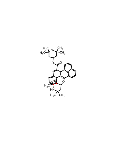 CC1(C)CC(OC(=O)c2cc3ccccc3cc2-c2cccc3cccc(C(=O)OC4CC(C)(C)NC(C)(C)C4)c23)CC(C)(C)N1